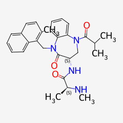 CN[C@@H](C)C(=O)N[C@H]1CN(C(=O)C(C)C)c2ccccc2N(Cc2c(C)ccc3ccccc23)C1=O